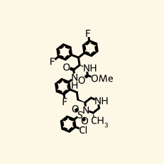 COC(=O)N[C@H](C(=O)Nc1cccc(F)c1CC[C@H]1CNC[C@H](C)N1S(=O)(=O)c1ccccc1Cl)C(c1cccc(F)c1)c1cccc(F)c1